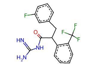 N=C(N)NC(=O)C(Cc1cccc(F)c1)c1ccccc1C(F)(F)F